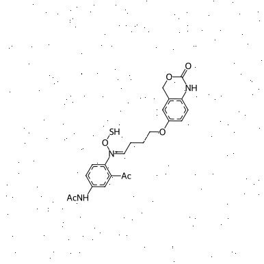 CC(=O)Nc1ccc([N+](=CCCCOc2ccc3c(c2)COC(=O)N3)OS)c(C(C)=O)c1